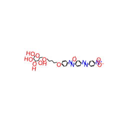 COc1cc(/N=N/c2ccc([N+](=O)[O-])cc2)ccc1/N=N/c1ccc(OCCCCCOCC2O[C@@H](O)C(O)C(O)[C@H]2O)cc1